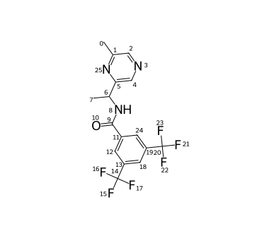 Cc1cncc(C(C)NC(=O)c2cc(C(F)(F)F)cc(C(F)(F)F)c2)n1